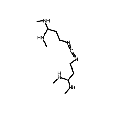 CNC(CCN=C=NCCC(NC)NC)NC